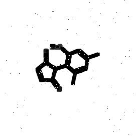 COc1cc(C)cc(C)c1C1C(=O)C=CC1=O